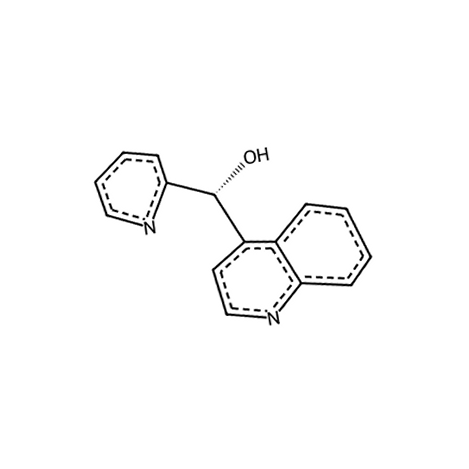 O[C@@H](c1ccccn1)c1ccnc2ccccc12